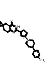 Cc1ccc(C2CCN([C@H]3C=C(c4nc5c(c(=O)[nH]4)CC4(CC5)CC4)CC3)CC2)cc1